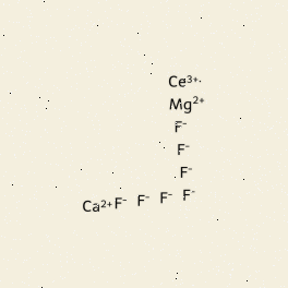 [Ca+2].[Ce+3].[F-].[F-].[F-].[F-].[F-].[F-].[F-].[Mg+2]